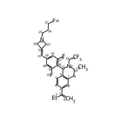 C=C(CC)c1ccc2c(c1)C[C@@H](C)N(CC(F)(F)F)C2c1c(F)cc(C=C2CN(CCCF)C2)cc1F